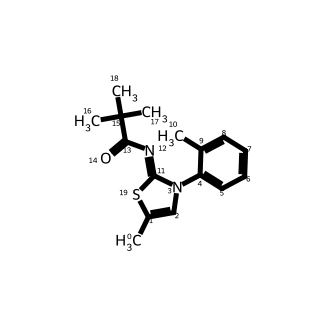 Cc1cn(-c2ccccc2C)/c(=N/C(=O)C(C)(C)C)s1